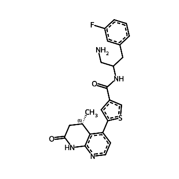 C[C@H]1CC(=O)Nc2nccc(-c3cc(C(=O)NC(CN)Cc4cccc(F)c4)cs3)c21